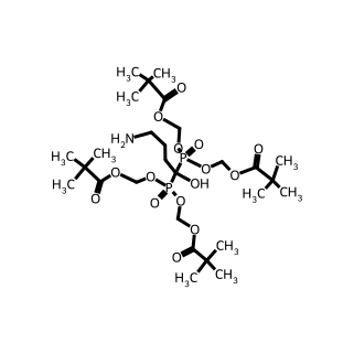 CC(C)(C)C(=O)OCOP(=O)(OCOC(=O)C(C)(C)C)C(O)(CCCN)P(=O)(OCOC(=O)C(C)(C)C)OCOC(=O)C(C)(C)C